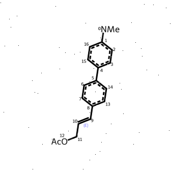 CNc1ccc(-c2ccc(/C=C/COC(C)=O)cc2)cc1